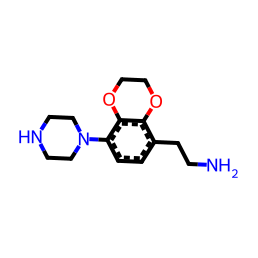 NCCc1ccc(N2CCNCC2)c2c1OCCO2